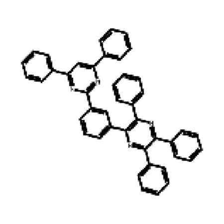 c1ccc(-c2cc(-c3ccccc3)nc(-c3cccc(-c4nc(-c5ccccc5)c(-c5ccccc5)nc4-c4ccccc4)c3)n2)cc1